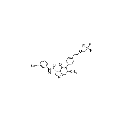 CC1Cn2ncc(C(=O)Nc3cccc(C#N)c3)c2C(=O)N1c1ccc(CCOCC(F)(F)F)cc1